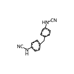 N#CNc1ccc(Cc2ccc(NC#N)cc2)cc1